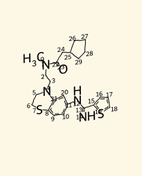 CN(CCN1CCSc2ccc(NC(=N)c3cccs3)cc21)C(=O)CC1CCCC1